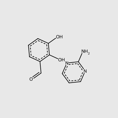 Nc1ncccn1.O=Cc1cccc(O)c1O